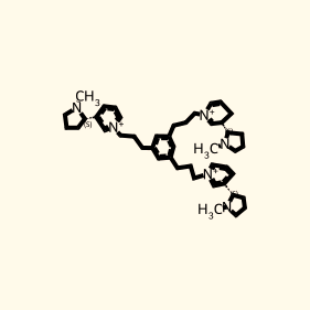 CN1CCC[C@H]1c1ccc[n+](CCCc2cc(CCC[N+]3=CC([C@@H]4CCCN4C)CC=C3)cc(CCC[n+]3cccc([C@@H]4CCCN4C)c3)c2)c1